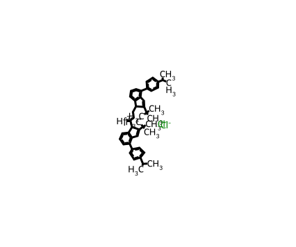 CC(C)c1ccc(-c2cccc3c2C=C(C(C)(C)C)C3CC[CH]([Hf+2])C2C(C(C)(C)C)=Cc3c(-c4ccc(C(C)C)cc4)cccc32)cc1.[Cl-].[Cl-]